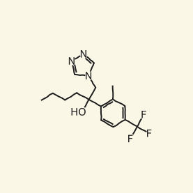 CCCCC(O)(Cn1cnnc1)c1ccc(C(F)(F)F)cc1C